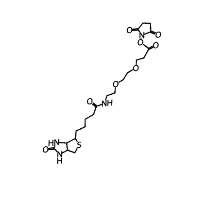 O=C(CCCCC1SCC2NC(=O)NC21)NCCOCCOCCC(=O)ON1C(=O)CCC1=O